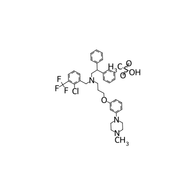 CN1CCN(c2cccc(OCCCN(Cc3cccc(C(F)(F)F)c3Cl)CC(c3ccccc3)c3ccccc3)c2)CC1.CS(=O)(=O)O